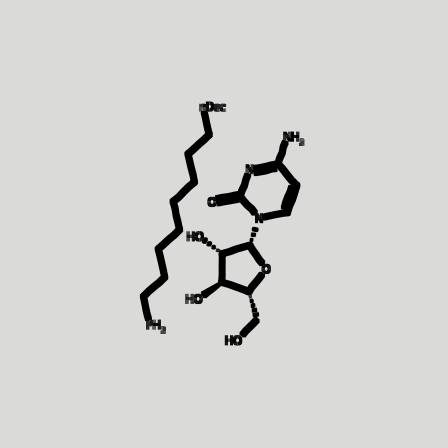 CCCCCCCCCCCCCCCCCCP.Nc1ccn([C@@H]2O[C@H](CO)[C@@H](O)[C@@H]2O)c(=O)n1